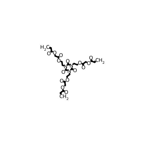 C=CC(=O)OCC(=O)OCCn1c(=O)n(CCOC(=O)COC(=O)C=C)c(=O)n(CCOC(=O)COC(=O)C=C)c1=O